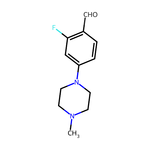 CN1CCN(c2ccc(C=O)c(F)c2)CC1